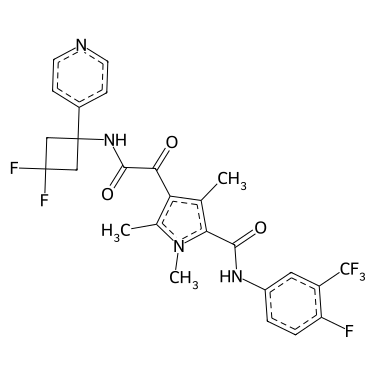 Cc1c(C(=O)C(=O)NC2(c3ccncc3)CC(F)(F)C2)c(C)n(C)c1C(=O)Nc1ccc(F)c(C(F)(F)F)c1